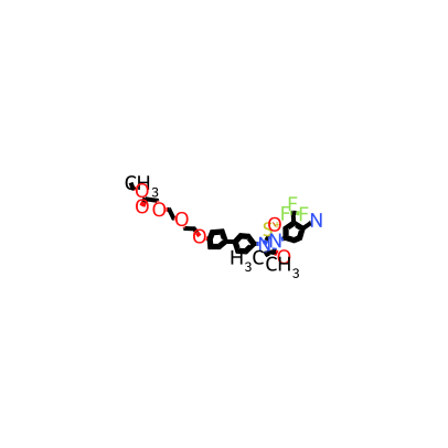 CCOC(=O)COCCOCCOc1ccc(-c2ccc(N3C([S+]=O)N(c4ccc(C#N)c(C(F)(F)F)c4)C(=O)C3(C)C)cc2)cc1